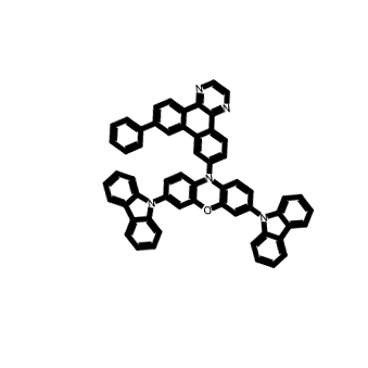 c1ccc(-c2ccc3c(c2)c2cc(N4c5ccc(-n6c7ccccc7c7ccccc76)cc5Oc5cc(-n6c7ccccc7c7ccccc76)ccc54)ccc2c2nccnc32)cc1